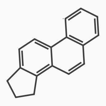 [c]1cccc2ccc3c4c(ccc3c12)CCC4